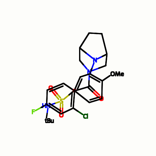 COc1ccc(S(=O)(=O)NC(C)(C)C)cc1N1C2CCC1CN(C(=O)c1ccc(F)cc1Cl)C2